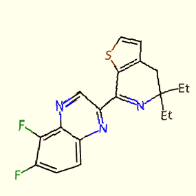 CCC1(CC)Cc2ccsc2C(c2cnc3c(F)c(F)ccc3n2)=N1